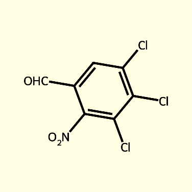 O=Cc1cc(Cl)c(Cl)c(Cl)c1[N+](=O)[O-]